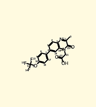 Cc1nc2ccc(-c3ccc(OC(F)(F)F)cc3)cc2n(CC(=O)O)c1=O